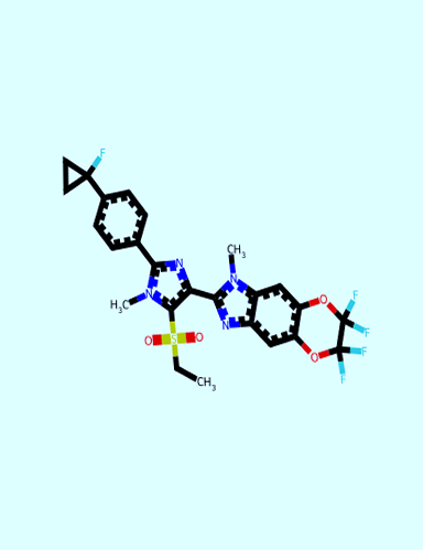 CCS(=O)(=O)c1c(-c2nc3cc4c(cc3n2C)OC(F)(F)C(F)(F)O4)nc(-c2ccc(C3(F)CC3)cc2)n1C